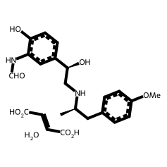 COc1ccc(C[C@@H](C)NC[C@H](O)c2ccc(O)c(NC=O)c2)cc1.O.O=C(O)/C=C/C(=O)O